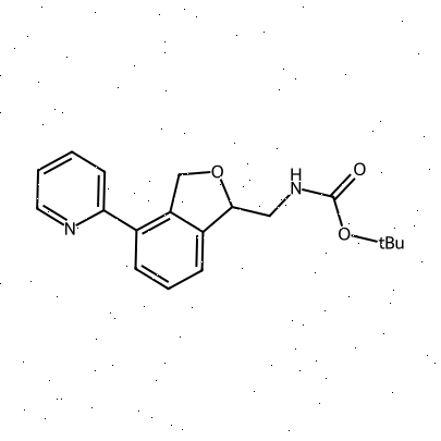 CC(C)(C)OC(=O)NCC1OCc2c(-c3ccccn3)cccc21